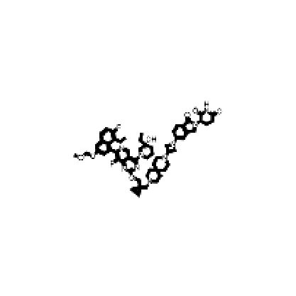 CCc1c(F)ccc2cc(OCOC)cc(-c3ncc4c(N5CCC[C@](O)(CC)C5)nc(OCC5(CN6CCC7(CC6)CCN(C6CN(c8ccc9c(c8)CN(C8CCC(=O)NC8=O)C9=O)C6)CC7)CC5)nc4c3F)c12